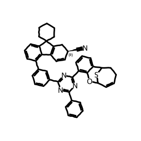 N#C[C@H]1C=CC2=C(C1)C1(CCCCC1)c1cccc(-c3cccc(-c4nc(-c5ccccc5)nc(-c5cccc6c5OC5C=CCCC6S5)n4)c3)c12